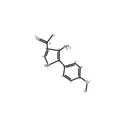 COc1ccc(-c2[nH]cc(C(C)=O)c2N)cc1